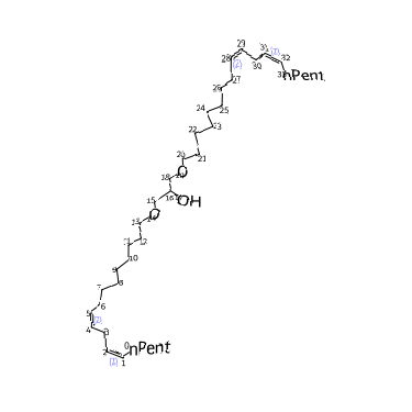 CCCCC/C=C\C/C=C\CCCCCCCCOCC(O)COCCCCCCCC/C=C\C/C=C\CCCCC